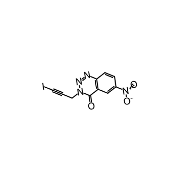 O=c1c2cc([N+](=O)[O-])ccc2nnn1CC#CI